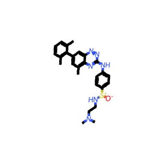 Cc1cccc(C)c1-c1cc(C)c2nc(Nc3ccc([S+]([O-])NCCN(C)C)cc3)nnc2c1